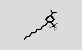 CCCCCCCCCc1ccc(C(C)C)cc1C(F)(F)F